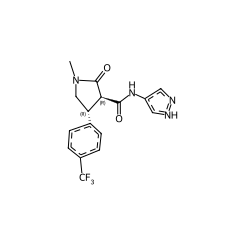 CN1C[C@@H](c2ccc(C(F)(F)F)cc2)[C@H](C(=O)Nc2cn[nH]c2)C1=O